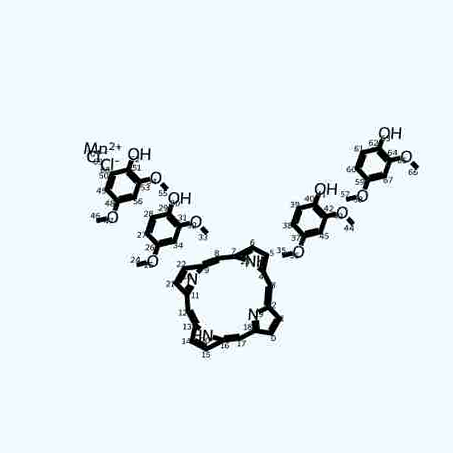 C1=Cc2cc3ccc(cc4nc(cc5ccc(cc1n2)[nH]5)C=C4)[nH]3.COc1ccc(O)c(OC)c1.COc1ccc(O)c(OC)c1.COc1ccc(O)c(OC)c1.COc1ccc(O)c(OC)c1.[Cl-].[Cl-].[Mn+2]